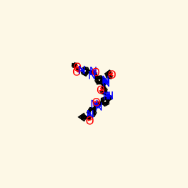 CC(C)(C)OC(=O)N1CCC(c2noc(-c3ccc4c(C5C[C@@H](n6ncc7ccc(-c8nc(C9CCN(C(=O)C%10CCC%10)CC9)no8)cc76)CO5)nn([C@@H]5CCOC5)c4c3)n2)CC1